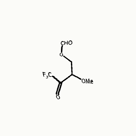 COC(COC=O)C(=O)C(F)(F)F